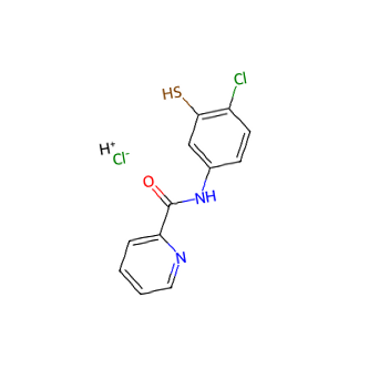 O=C(Nc1ccc(Cl)c(S)c1)c1ccccn1.[Cl-].[H+]